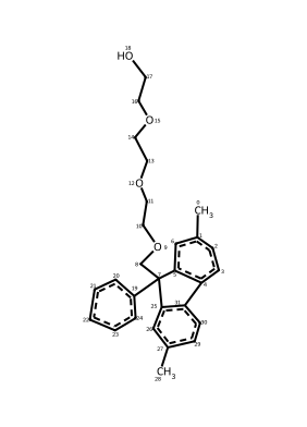 Cc1ccc2c(c1)C(COCCOCCOCCO)(c1ccccc1)c1cc(C)ccc1-2